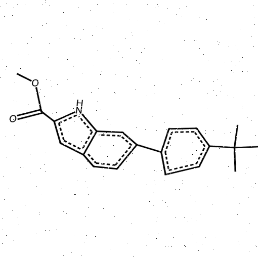 COC(=O)c1cc2ccc(-c3ccc(C(C)(C)C)cc3)cc2[nH]1